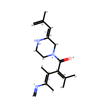 C=N/C(C)=C(\C)C(C(=O)N1CCN/C(=C\C(=C)C)C1)=C(C)C